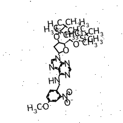 COc1ccc(CNc2ncnc3c2ncn3[C@H]2CC(O[Si](C)(C)C(C)(C)C)[C@@H](CO[Si](C)(C)C(C)(C)C)O2)c([N+](=O)[O-])c1